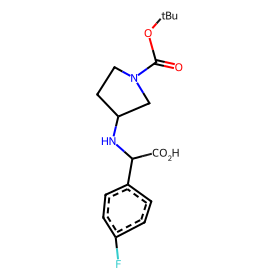 CC(C)(C)OC(=O)N1CCC(NC(C(=O)O)c2ccc(F)cc2)C1